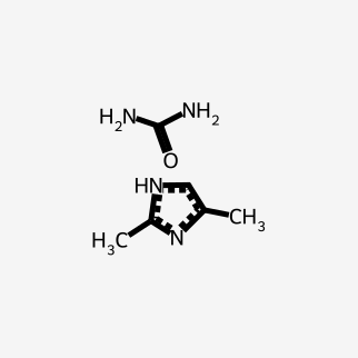 Cc1c[nH]c(C)n1.NC(N)=O